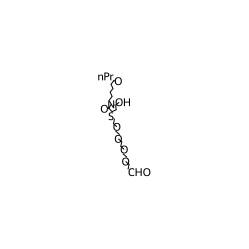 CCCC(=O)CCCCCN1C(=O)C(SCCOCCOCCOCCOCCC=O)CC1O